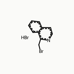 Br.BrCc1nccc2ccccc12